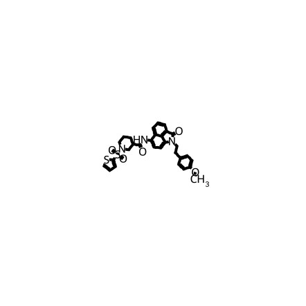 COc1ccc(CCN2C(=O)c3cccc4c(NC(=O)C5CCCN(S(=O)(=O)c6cccs6)C5)ccc2c34)cc1